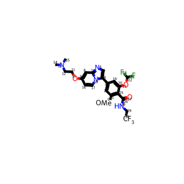 COc1cc(-c2cnc3cc(OCCN(C)C)ccn23)cc(OC(F)F)c1C(=O)NCC(F)(F)F